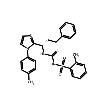 Cc1ccc(-n2ccnc2[C@H](CCc2ccccc2)NC(=O)NS(=O)(=O)c2ccccc2C)cc1